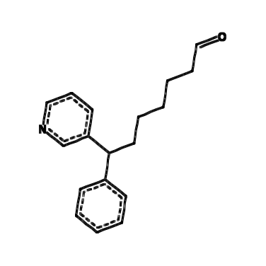 O=CCCCCCC(c1ccccc1)c1cccnc1